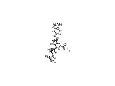 CCn1nc(C)cc1-c1n[nH]c(-c2cc(C(N)=O)cc3c2cnn3CCN2CCO[C@@H](COC)C2)n1